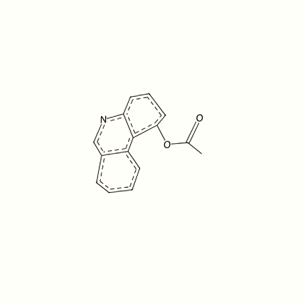 CC(=O)Oc1cccc2ncc3ccccc3c12